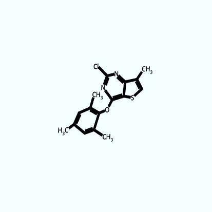 Cc1cc(C)c(Oc2nc(Cl)nc3c(C)csc23)c(C)c1